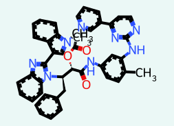 Cc1ccc(NC(=O)[C@@H](OC(=O)C(F)(F)F)[C@@H](Cc2ccccc2)n2c(-c3cn(C)c4ccccc34)nc3ccccc32)cc1Nc1nccc(-c2cccnc2)n1